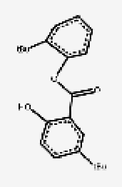 CC(C)(C)c1ccc(O)c(C(=O)Oc2ccccc2C(C)(C)C)c1